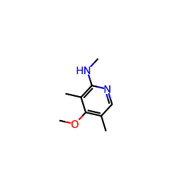 CNc1ncc(C)c(OC)c1C